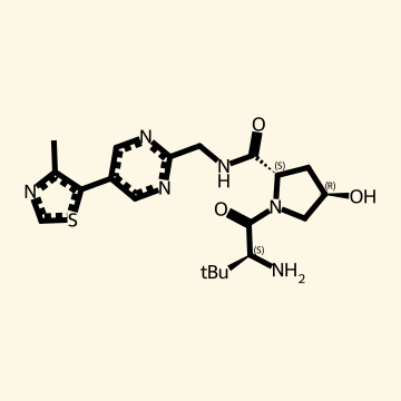 Cc1ncsc1-c1cnc(CNC(=O)[C@@H]2C[C@@H](O)CN2C(=O)[C@@H](N)C(C)(C)C)nc1